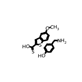 COc1ccc2sc(C(O)=S)cc2c1.NCc1ccc(O)cc1